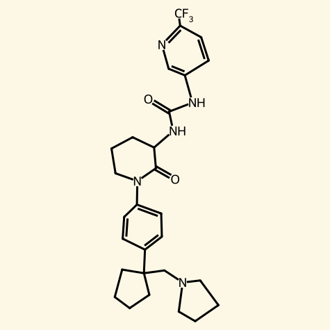 O=C(Nc1ccc(C(F)(F)F)nc1)NC1CCCN(c2ccc(C3(CN4CCCC4)CCCC3)cc2)C1=O